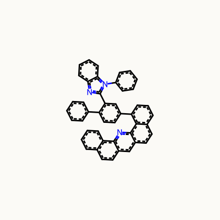 c1ccc(-c2ccc(-c3cccc4ccc5cc6ccc7ccccc7c6nc5c34)cc2-c2nc3ccccc3n2-c2ccccc2)cc1